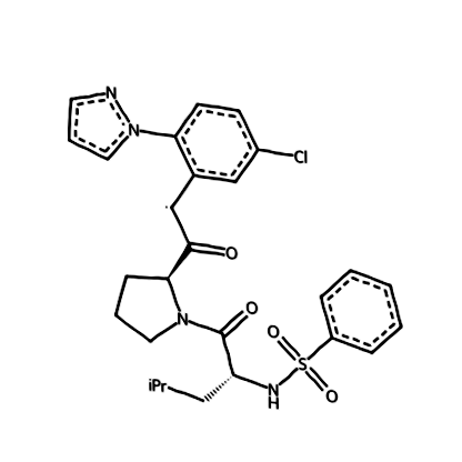 CC(C)C[C@@H](NS(=O)(=O)c1ccccc1)C(=O)N1CCC[C@H]1C(=O)[CH]c1cc(Cl)ccc1-n1cccn1